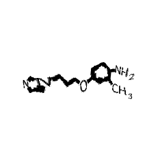 Cc1cc(OCCCn2ccnc2)ccc1N